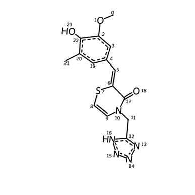 COc1cc(C=C2SC=CN(Cc3nnn[nH]3)C2=O)cc(C)c1O